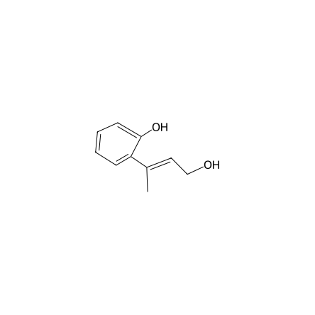 CC(=CCO)c1ccccc1O